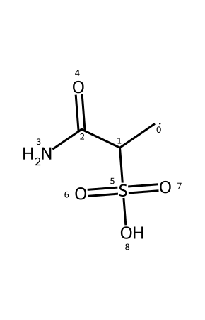 [CH2]C(C(N)=O)S(=O)(=O)O